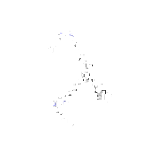 CCCCC/C=C\C/C=C\CCCCCCCCOC(=O)C(CNCCC(=O)CN(C)C)NC(=O)CCCCCCC/C=C\C/C=C\CCCCC